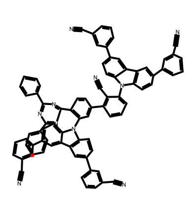 N#Cc1cccc(-c2ccc3c(c2)c2cc(-c4cccc(C#N)c4)ccc2n3-c2cc(-c3cccc(-n4c5ccc(-c6cccc(C#N)c6)cc5c5cc(-c6cccc(C#N)c6)ccc54)c3C#N)ccc2-c2nc(-c3ccccc3)nc(-c3ccccc3)n2)c1